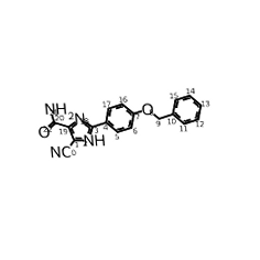 N#Cc1[nH]c(-c2ccc(OCc3ccccc3)cc2)nc1C(N)=O